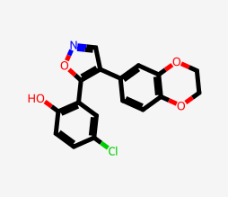 Oc1ccc(Cl)cc1-c1oncc1-c1ccc2c(c1)OCCO2